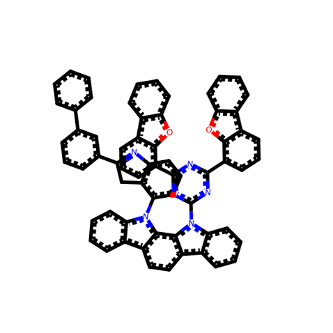 c1ccc(-c2cccc(C3=Nc4cccc(-n5c6ccccc6c6ccc7c8ccccc8n(-c8nc(-c9cccc%10c9oc9ccccc9%10)nc(-c9cccc%10c9oc9ccccc9%10)n8)c7c65)c4C3)c2)cc1